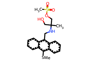 CSc1c2ccccc2c(CNC(C)(CO)COS(C)(=O)=O)c2ccccc12